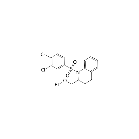 CCOCC1CCc2ccccc2N1S(=O)(=O)c1ccc(Cl)c(Cl)c1